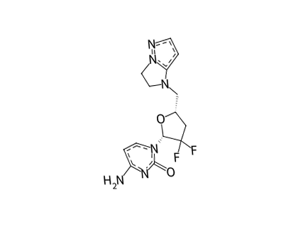 Nc1ccn([C@@H]2O[C@H](CN3CCn4nccc43)CC2(F)F)c(=O)n1